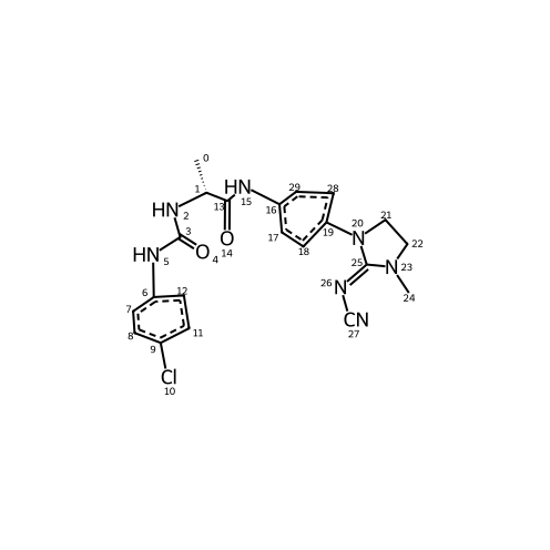 C[C@@H](NC(=O)Nc1ccc(Cl)cc1)C(=O)Nc1ccc(N2CCN(C)/C2=N\C#N)cc1